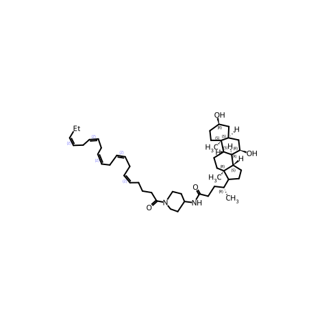 CC/C=C\C/C=C\C/C=C\C/C=C\C/C=C\CCCC(=O)N1CCC(NC(=O)CC[C@@H](C)C2CC[C@H]3[C@@H]4[C@H](O)C[C@@H]5C[C@H](O)CC[C@]5(C)[C@H]4CC[C@]23C)CC1